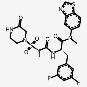 CN(C(=O)[C@H](Cc1cc(F)cc(F)c1)NC(=O)NS(=O)(=O)N1CCNC(=O)C1)c1ccc2scnc2c1